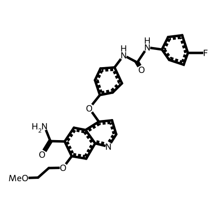 COCCOc1cc2nccc(Oc3ccc(NC(=O)Nc4ccc(F)cc4)cc3)c2cc1C(N)=O